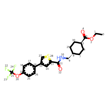 CCOC(=O)[C@H]1CC[C@H](CNC(=O)c2cc(-c3ccc(OC(F)(F)F)cc3)cs2)CC1